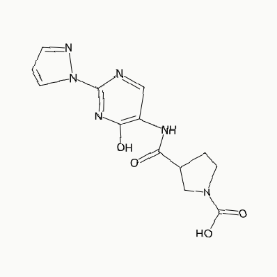 O=C(Nc1cnc(-n2cccn2)nc1O)C1CCN(C(=O)O)C1